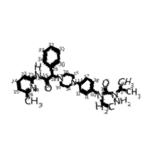 C=CN(C(=O)N(N)C(C)C)c1ccc(N2CCN(C(C(=O)Nc3cccc(C)n3)c3ccccc3)CC2)cc1